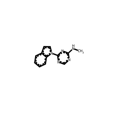 CNc1ncnc(-n2ccc3ccccc32)n1